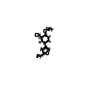 CC(C)Oc1ccc(-c2noc(C(C)C)n2)cc1Cl